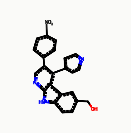 O=[N+]([O-])c1ccc(-c2cnc3[nH]c4ccc(CO)cc4c3c2-c2ccncc2)cc1